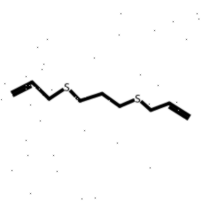 C=CCSCCCSCC=C